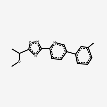 COC(C)c1nc(-c2ccc(-c3cccc(F)c3)cn2)no1